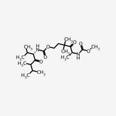 COC(=O)N[C@@H](C)C(=O)C(C)(C)CCOC(=O)N[C@H](C(=O)C(C)C(C)C)C(C)C